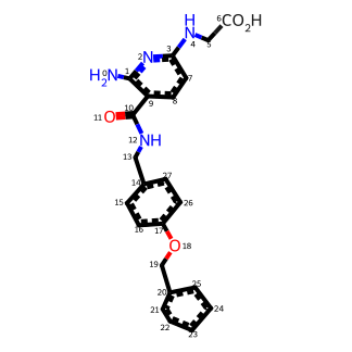 Nc1nc(NCC(=O)O)ccc1C(=O)NCc1ccc(OCc2ccccc2)cc1